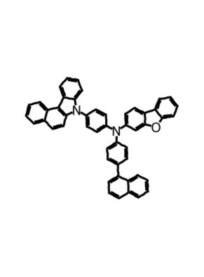 c1ccc2c(-c3ccc(N(c4ccc(-n5c6ccccc6c6c7ccccc7ccc65)cc4)c4ccc5c(c4)oc4ccccc45)cc3)cccc2c1